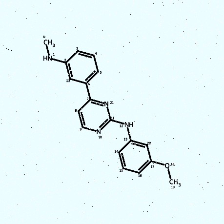 CNc1cccc(-c2ccnc(Nc3cccc(OC)c3)n2)c1